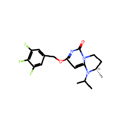 CC(C)N1c2cc(OCc3cc(F)c(F)c(F)c3)nc(=O)n2CC[C@@H]1C